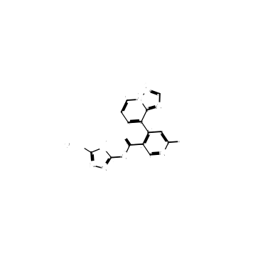 COc1nnc(NC(=O)c2cnc(C)cc2-c2cccn3ncnc23)s1